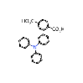 O=C(O)c1ccc(C(=O)O)cc1.c1ccc(N(c2ccccc2)c2ccccc2)cc1